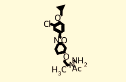 CC(=O)N(N)C(C)COC1CCc2nc(-c3ccc(OCC4CC4)c(Cl)c3)oc2C1